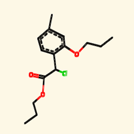 CCCOC(=O)C(Cl)c1ccc(C)cc1OCCC